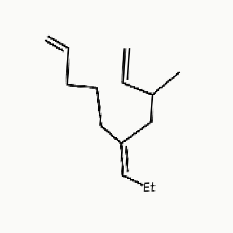 C=CCCCC(=CCC)CC(C)C=C